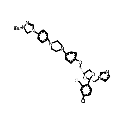 CCC(C)N1CN(c2ccc(N3CCN(c4ccc(OC[C@@H]5CO[C@@](Cn6ccnc6)(c6ccc(Cl)cc6Cl)O5)cc4)CC3)cc2)C=N1